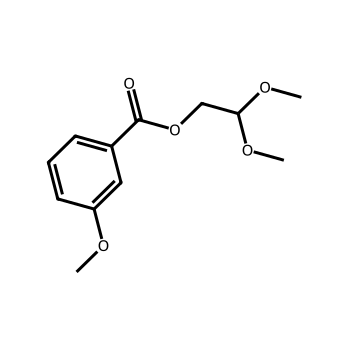 COc1cccc(C(=O)OCC(OC)OC)c1